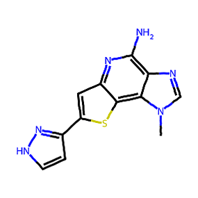 Cn1cnc2c(N)nc3cc(-c4cc[nH]n4)sc3c21